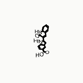 O=C(O)c1ccc2[nH]c(-c3cc4ccccc4[nH]c3=O)cc2c1